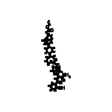 CCOC(=O)CC1CC2CN([C@H]3CC[C@H](C4=C/CC/C=C(CC56CC7CN(c8cc(-c9ccccc9O)nnc8N)CC5CC76)/N=C\4)CC3)CC3CC2C13